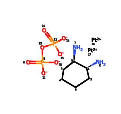 N[C@@H]1CCCC[C@H]1N.O=P([O-])([O-])OP(=O)([O-])[O-].[Pt+2].[Pt+2]